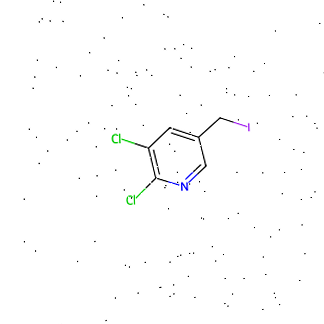 Clc1cc(CI)cnc1Cl